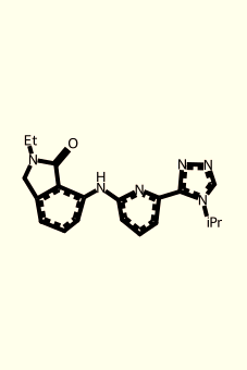 CCN1Cc2cccc(Nc3cccc(-c4nncn4C(C)C)n3)c2C1=O